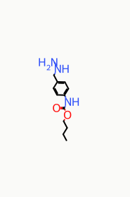 CCCCOC(=O)Nc1ccc(CNN)cc1